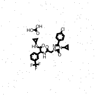 O=C(Cn1nc(-c2ccc(Cl)cc2)n(C2CC2)c1=O)NC(C(=O)NC1CC1)c1cccc(C(F)(F)F)c1.O=C(O)O